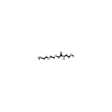 CNCCOCCOCC(=O)NCCOC